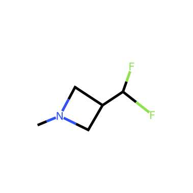 CN1CC(C(F)F)C1